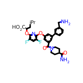 CC(C)C[C@@H](Oc1nc(Oc2cc(C(=O)N3CCC(C(N)=O)CC3)cc(-c3cccc(CN)c3)c2)c(F)cc1F)C(=O)O